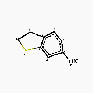 O=Cc1ccc2c(c1)SCC2